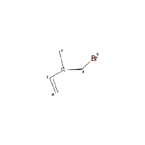 C=C[C](C)CBr